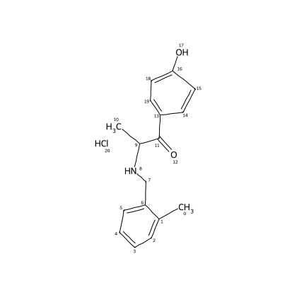 Cc1ccccc1CNC(C)C(=O)c1ccc(O)cc1.Cl